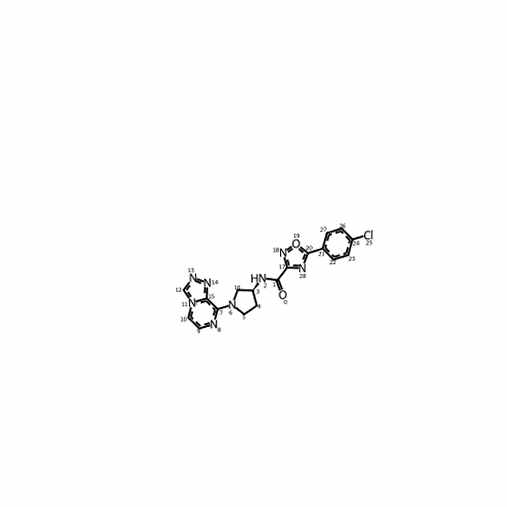 O=C(N[C@H]1CCN(c2nccn3cnnc23)C1)c1noc(-c2ccc(Cl)cc2)n1